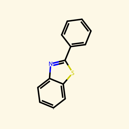 [c]1ccc2nc(-c3ccccc3)sc2c1